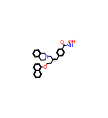 O=C(NO)c1ccc(/C=C(/CCOc2cccc3ccccc23)CN2CCc3ccccc3C2)cc1